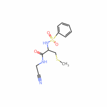 CSCC(NS(=O)(=O)c1ccccc1)C(=O)NCC#N